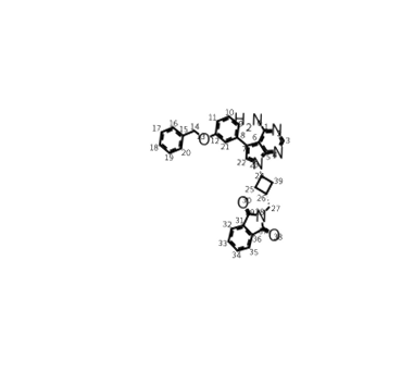 Nc1ncnc2c1c(-c1cccc(OCc3ccccc3)c1)cn2[C@H]1C[C@@H](CN2C(=O)c3ccccc3C2=O)C1